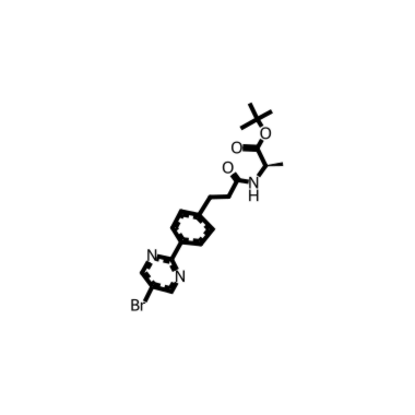 C[C@@H](NC(=O)CCc1ccc(-c2ncc(Br)cn2)cc1)C(=O)OC(C)(C)C